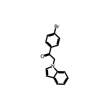 O=C(Cn1ccc2ccccc21)c1ccc(Br)cc1